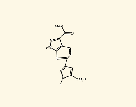 CNC(=O)c1n[nH]c2cc(-c3cc(C(=O)O)n(C)n3)ccc12